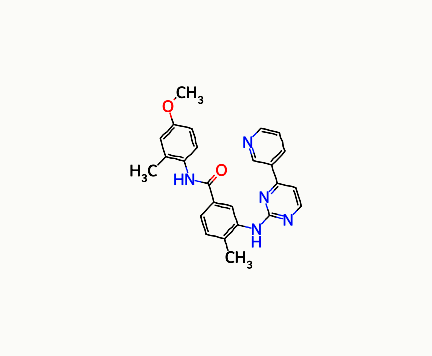 COc1ccc(NC(=O)c2ccc(C)c(Nc3nccc(-c4cccnc4)n3)c2)c(C)c1